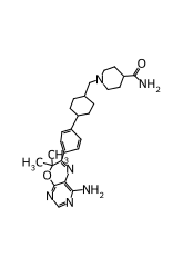 CC1(C)Oc2ncnc(N)c2N=C1c1ccc(C2CCC(CN3CCC(C(N)=O)CC3)CC2)cc1